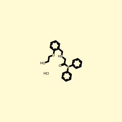 Cl.O=C(CNCc1ccccc1OCCO)N(c1ccccc1)c1ccccc1